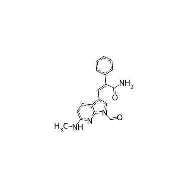 CNc1ccc2c(C=C(C(N)=O)c3ccccc3)cn(C=O)c2n1